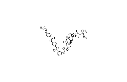 CCOc1ccc(C(=O)Oc2ccc(OC(=O)c3cccc(OC(=O)OC4CC[C@]5(C)C(C=C[C@@H]6[C@H]7CC[C@@H](C(C)CCCC(C)C)[C@]7(C)CC[C@H]65)C4)c3)cc2)cc1